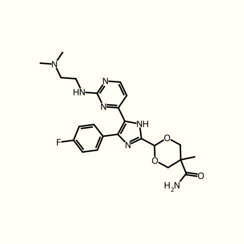 CN(C)CCNc1nccc(-c2[nH]c(C3OCC(C)(C(N)=O)CO3)nc2-c2ccc(F)cc2)n1